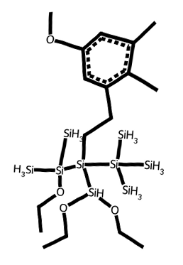 CCO[SiH](OCC)[Si](CCc1cc(OC)cc(C)c1C)([Si]([SiH3])([SiH3])[SiH3])[Si]([SiH3])([SiH3])OCC